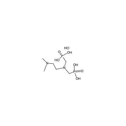 CN(C)CCN(CP(=O)(O)O)CP(=O)(O)O.Cl